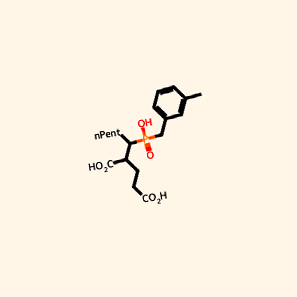 CCCCCC(C(CCC(=O)O)C(=O)O)P(=O)(O)Cc1cccc(C)c1